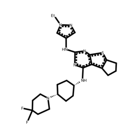 CCn1cc(Nc2nc(N[C@H]3CC[C@@H](N4CCC(F)(F)CC4)CC3)c3c4c(sc3n2)CCC4)cn1